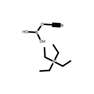 CC[N+](CC)(CC)CC.N#COB(O)O